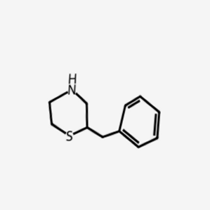 c1ccc(CC2CNCCS2)cc1